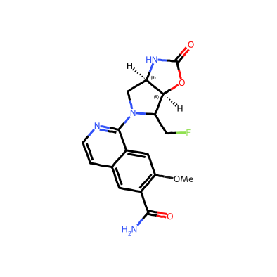 COc1cc2c(N3C[C@H]4NC(=O)O[C@H]4C3CF)nccc2cc1C(N)=O